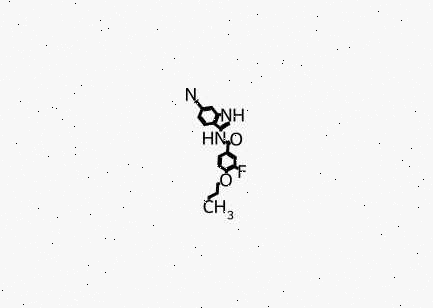 CCCCOc1ccc(C(=O)Nc2c[nH]c3cc(C#N)ccc23)cc1F